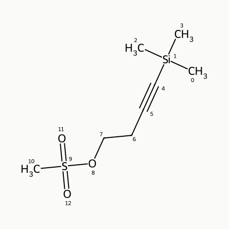 C[Si](C)(C)C#CCCOS(C)(=O)=O